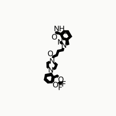 NC(=O)c1cccc2cn(CCCC(=O)N3CCN(c4cccc5c4COC(F)(F)O5)CC3)nc12